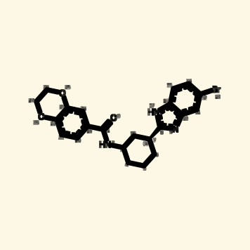 O=C(NC1CCC[C@H](c2nc3cc(Br)ccc3[nH]2)C1)c1ccc2c(c1)OCCO2